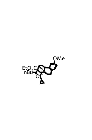 CCCCC(=O)C1(C(=O)OCC)C[C@]2(C)C3Cc4ccc(OC)cc4[C@]2(C)CC1N3CC1CC1